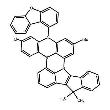 CC(C)(C)c1cc2c3c(c1)-n1c4c(c5cccc(c51)B3c1ccc(Cl)cc1N2c1cccc2oc3ccccc3c12)C(C)(C)c1ccccc1-4